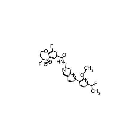 CCOc1nc([C@H](C)F)ccc1-c1ccc2cnc(CNC(=O)c3cc(F)c4c(c3)S(=O)(=O)[C@@H](F)CCO4)cc2n1